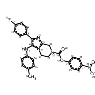 Cc1ccc(Nc2c(-c3ccc(F)cc3)nc3n2CCN(C(=O)Oc2ccc([N+](=O)[O-])cc2)C3)cc1